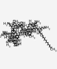 CCCCCCCCCCCCOCCC(=O)N[C@@H](CCCCN)C(=O)N[C@@H](CCCCN)C(=O)N[C@@H](CC(C)C)C(=O)N[C@@H](CCCNC(=N)N)C(=O)N[C@@H](CO)C(=O)N[C@@H](CCSC)C(=O)N[C@H](C(=O)N[C@@H](CC(=O)O)C(=O)N[C@@H](CCCCN)C(=O)N[C@@H](Cc1ccc(O)cc1)C(=O)N[C@@H](CCCNC(=N)N)C(=O)N[C@@H](CC(C)C)C(=O)N[C@@H](Cc1c[nH]cn1)C(N)=O)[C@@H](C)O